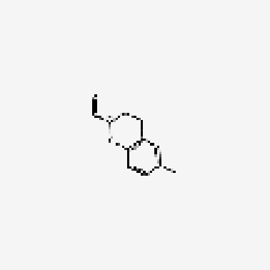 O=C[C@H]1CCc2cc(F)ccc2O1